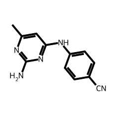 Cc1cc(Nc2ccc(C#N)cc2)nc(N)n1